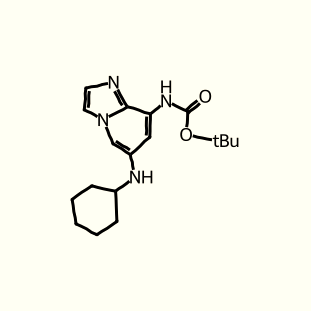 CC(C)(C)OC(=O)Nc1cc(NC2CCCCC2)cn2ccnc12